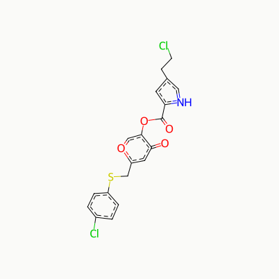 O=C(Oc1coc(CSc2ccc(Cl)cc2)cc1=O)c1cc(CCCl)c[nH]1